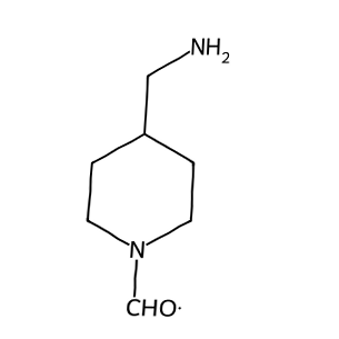 NCC1CCN([C]=O)CC1